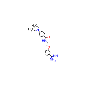 CCN(CC)c1ccc(C(=O)NCCOc2cccc(C(=N)N)c2)cc1